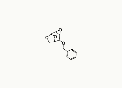 c1ccc(COC2C3COC(O3)C3OC23)cc1